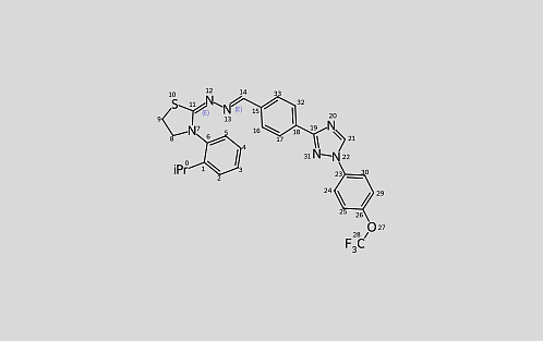 CC(C)c1ccccc1N1CCS/C1=N/N=C/c1ccc(-c2ncn(-c3ccc(OC(F)(F)F)cc3)n2)cc1